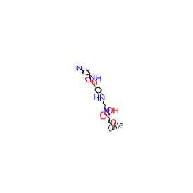 COC(=O)/C=C/C(=O)N(O)CCCCNCc1ccc(COC(=O)Nc2ccc(N(C)C)cc2)cc1